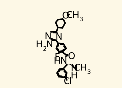 CNC[C@@H](NC(=O)c1ccc(-c2nc(C3CCC(OC)CC3)cnc2N)cc1F)c1cccc(Cl)c1